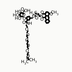 COc1ccc2c3c(c4ccccc4cc13)C(=O)N(CCN(C)C(=O)OCc1ccc(O[C@@H]3O[C@H](C(=O)O)[C@@H](O)[C@H](O)[C@H]3O)c(C(=O)NCCOCCOCCOCCOCCOCCON=C(C)C)c1)C2=O